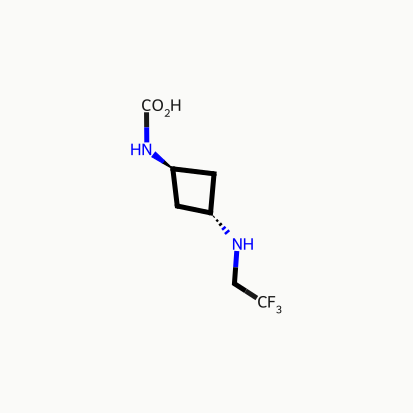 O=C(O)N[C@H]1C[C@H](NCC(F)(F)F)C1